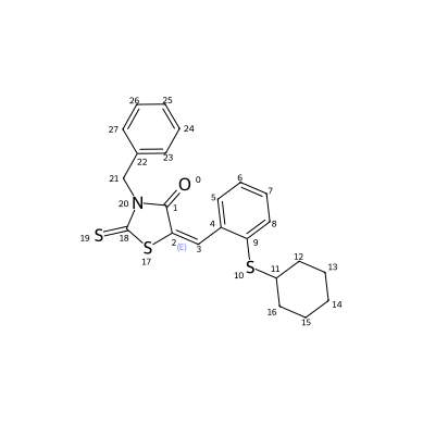 O=C1/C(=C\c2ccccc2SC2CCCCC2)SC(=S)N1Cc1ccccc1